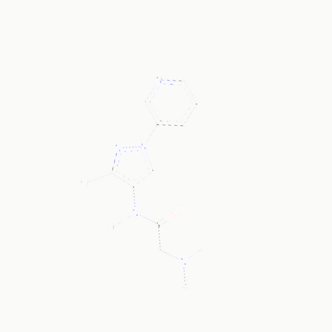 CCN(C(=O)CN(C)C(C)=O)c1cn(-c2cccnc2)nc1Cl